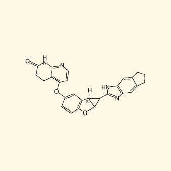 O=C1CCc2c(Oc3ccc4c(c3)[C@@H]3C(O4)C3c3nc4cc5c(cc4[nH]3)CCC5)ccnc2N1